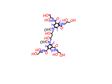 O=CN(CC(O)CC(O)CN(C=O)c1c(I)c(C(=O)NCC(O)CO)c(I)c(C(=O)NCC(O)CO)c1I)c1c(I)c(C(=O)NCC(O)CO)c(I)c(C(=O)NCC(O)CO)c1I